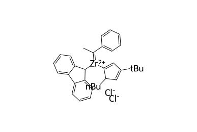 CCCCC1C=C(C(C)(C)C)C=[C]1/[Zr+2](=[C](/C)c1ccccc1)[CH]1c2ccccc2-c2ccccc21.[Cl-].[Cl-]